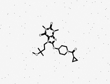 COC(C)(C)CCn1c(OC2CCN(C(=O)C3CC3)CC2)nc2c1c(=O)n(C)c(=O)n2C